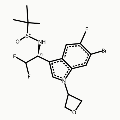 CC(C)(C)[S+]([O-])N[C@@H](c1cn(C2COC2)c2cc(Br)c(F)cc12)C(F)F